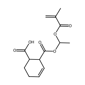 C=C(C)C(=O)OC(C)OC(=O)C1C=CCCC1C(=O)O